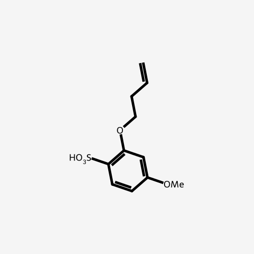 C=CCCOc1cc(OC)ccc1S(=O)(=O)O